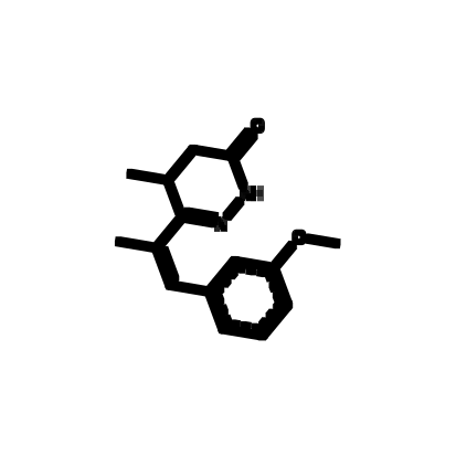 COc1cccc(C=C(C)C2=NNC(=O)CC2C)c1